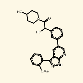 COc1ccccc1-c1n[nH]c2ncc(-c3cccc(C(O)C(=O)N4CCC(O)CC4)c3)cc12